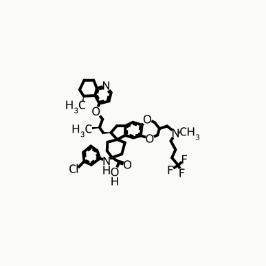 C[C@@H](COc1ccnc2c1[C@H](C)CCC2)C[C@H]1Cc2cc3c(cc2C12CCC(Nc1cccc(Cl)c1)(C(=O)O)CC2)OCC(CN(C)CCCC(F)(F)F)CO3